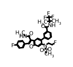 CNC(=O)c1c(-c2ccc(F)cc2)oc2cc(N(CCF)S(C)(=O)=O)c(-c3cccc(C(=O)NC(C)(C)C(F)(F)F)c3)cc12